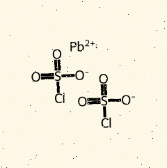 O=S(=O)([O-])Cl.O=S(=O)([O-])Cl.[Pb+2]